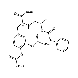 CCCCCC(=O)Oc1ccc(C[C@H](NCC(C)OC(=O)Oc2ccccc2)C(=O)OC)cc1OC(=O)CCCCC